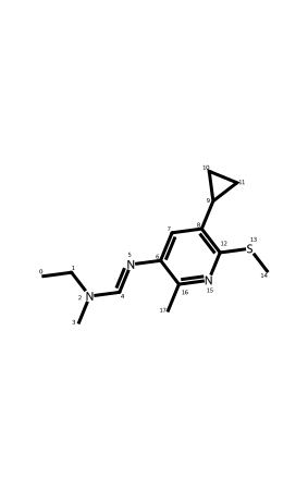 CCN(C)/C=N/c1cc(C2CC2)c(SC)nc1C